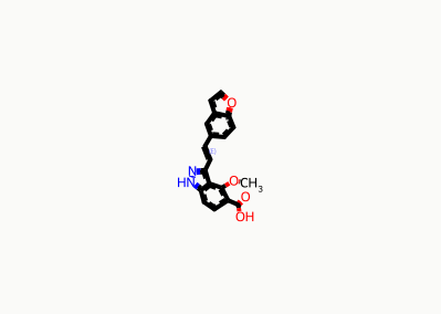 COc1c(C(=O)O)ccc2[nH]nc(/C=C/c3ccc4occc4c3)c12